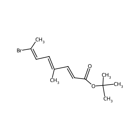 C\C(Br)=C/C=C(C)/C=C/C(=O)OC(C)(C)C